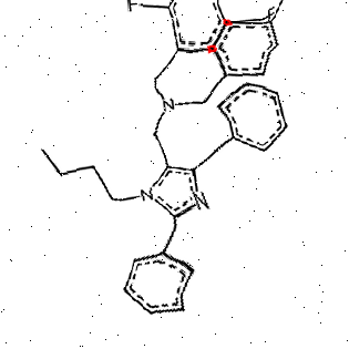 CCCCn1c(-c2ccccc2)nc(-c2ccccc2)c1CN(Cc1ccc(OC)cc1)Cc1cc(F)ccc1F